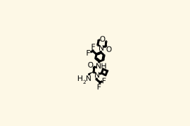 NC[C@@H](C(=O)Nc1ccc(N2CCOCC2=O)c(C(F)F)c1)N(CC(F)F)C1CCC1